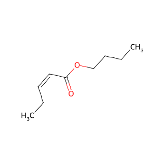 CC/C=C\C(=O)OCCCC